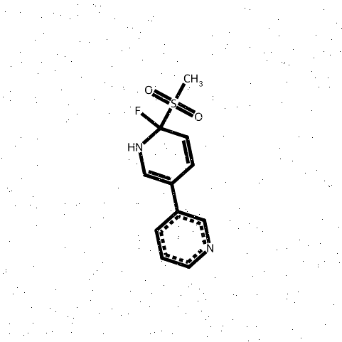 CS(=O)(=O)C1(F)C=CC(c2cccnc2)=CN1